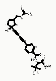 COC(=O)[C@@H](NC(=O)c1ccc(C#CC#CC2(O)CCC(COC(=O)C(F)(F)F)C2)cc1)C(C)(C)N